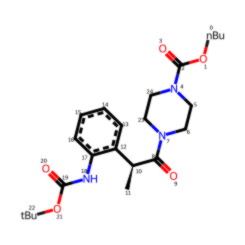 CCCCOC(=O)N1CCN(C(=O)[C@@H](C)c2ccccc2NC(=O)OC(C)(C)C)CC1